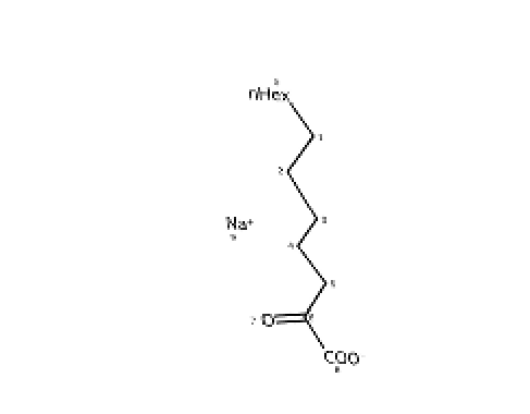 CCCCCCCCCCCC(=O)C(=O)[O-].[Na+]